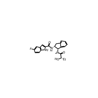 CC[C@H](O)C(=O)N(C)[C@@H]1c2ccccc2C[C@H]1NC(=O)c1cc2cc(F)ccc2[nH]1